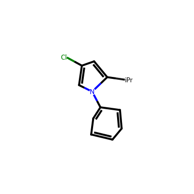 CC(C)c1cc(Cl)cn1-c1ccccc1